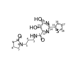 O=C(NCCCN1CCCC1=O)c1nc(-c2cccs2)nc(O)c1O